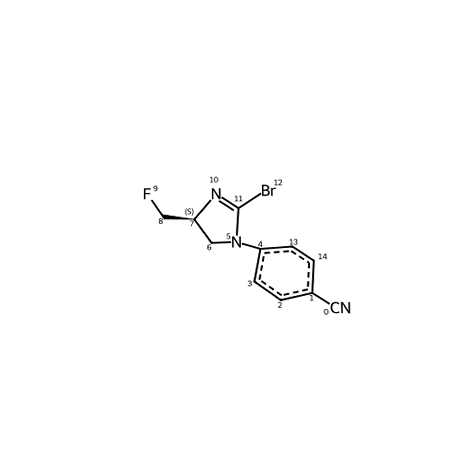 N#Cc1ccc(N2C[C@@H](CF)N=C2Br)cc1